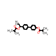 C=C(C)C(=O)Oc1ccc(-c2ccc(C(CC)OC(=O)C(=C)C)cc2)cc1